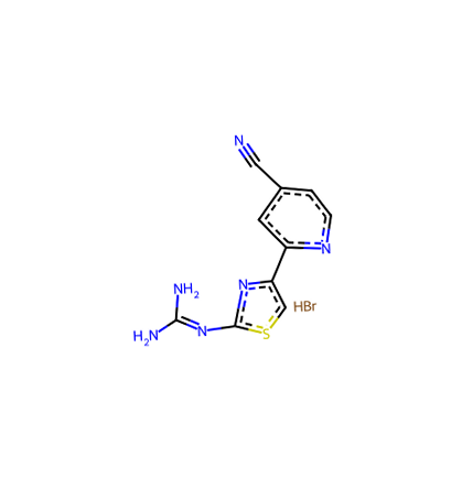 Br.N#Cc1ccnc(-c2csc(N=C(N)N)n2)c1